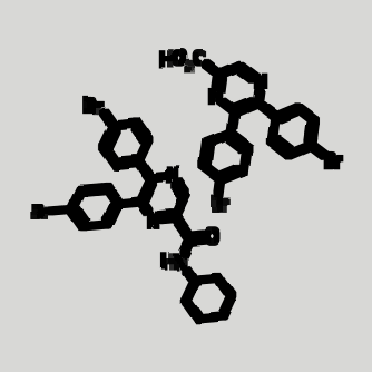 O=C(NC1CCCCC1)c1cnc(-c2ccc(Br)cc2)c(-c2ccc(Br)cc2)n1.O=C(O)c1cnc(-c2ccc(Br)cc2)c(-c2ccc(Br)cc2)n1